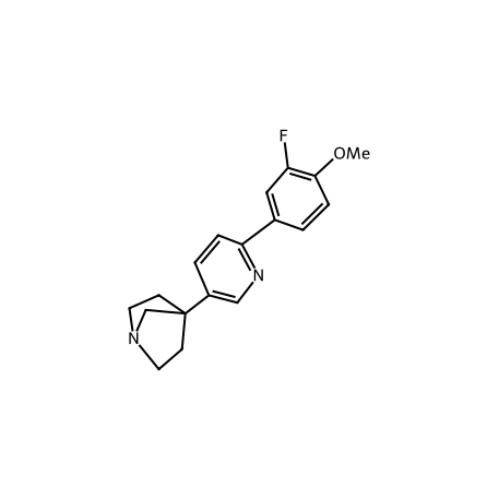 COc1ccc(-c2ccc(C34CCN(CC3)C4)cn2)cc1F